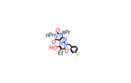 CCCn1c(=O)c2c(nc3n(Cc4ccc(F)cc4)c(=O)c(CC)c(O)n23)n(CCC)c1=O